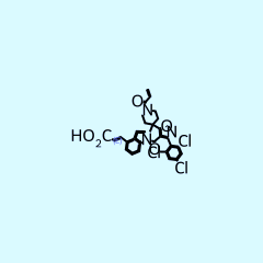 C=CC(=O)N1CCC(C)(c2onc(-c3c(Cl)cc(Cl)cc3Cl)c2C(=O)n2ccc3c(/C=C/C(=O)O)cccc32)CC1